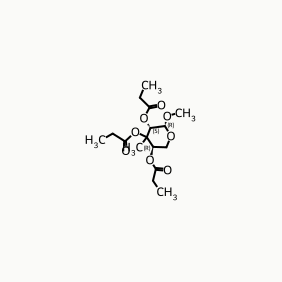 CCC(=O)O[C@@H]1[C@H](OC)OC[C@@H](OC(=O)CC)C1(C)OC(=O)CC